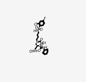 CCNC(=O)N(CCCCNS(=O)(=O)c1ccc(F)cc1Cl)C[C@H](COC)OC(=O)Nc1ccccc1